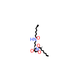 C#CCCCCCC(=O)NCCCC[C@H]1C(OC)=CC(=O)N1C(=O)[C@H](C)CCCCC=C